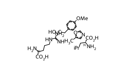 CC(C)C[C@H](N)C(=O)O.COc1ccc(CC(=O)O)cc1.Cc1cnco1.N=C(N)NCCC[C@H](N)C(=O)O